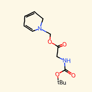 CC(C)(C)OC(=O)NCC(=O)OCN1C=CC=CC1